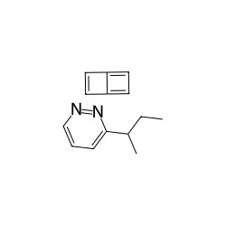 CCC(C)c1cccnn1.c1cc2ccc1-2